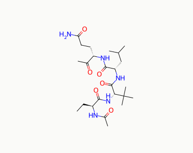 CC[C@H](NC(C)=O)C(=O)N[C@H](C(=O)N[C@@H](CC(C)C)C(=O)N[C@@H](CCC(N)=O)C(C)=O)C(C)(C)C